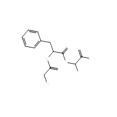 CC(NC(=O)C(Cc1ccccc1)NC(=O)CN)C(=O)O